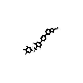 CCCC1Cc2ccc(-c3ccc(-c4cc(F)c(C(F)(F)Oc5cc(F)c(C)c(F)c5)c(F)c4)cc3)cc2C1